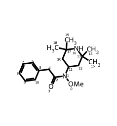 CON(C(=O)Cc1ccccc1)C1CC(C)(C)NC(C)(C)C1